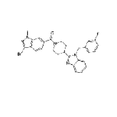 Cn1nc(Br)c2ccc(C(=O)N3CCC(c4nc5ccccc5n4Cc4cccc(F)c4)CC3)cc21